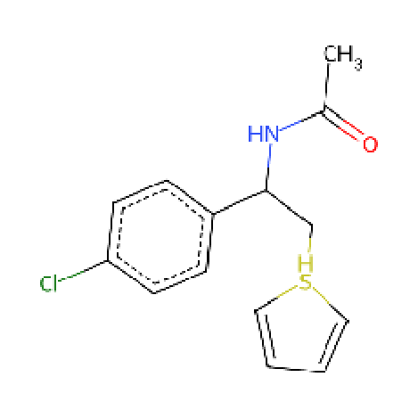 CC(=O)NC(C[SH]1C=CC=C1)c1ccc(Cl)cc1